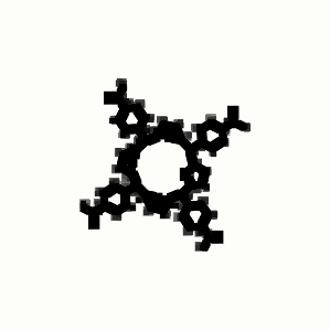 CNc1ccc(C2=C3C=CC(=N3)C(c3ccc(NC)cc3)=C3C=CC(=N3)C(c3ccc(NC)cc3)=C3C=CC(=N3)C(c3ccc(NC)cc3)=C3C=CC2=N3)cc1